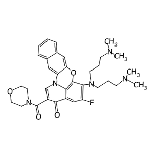 CN(C)CCCN(CCCN(C)C)c1c(F)cc2c(=O)c(C(=O)N3CCOCC3)cn3c2c1Oc1cc2ccccc2cc1-3